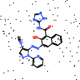 [C-]#[N+]c1cnn(-c2ccccn2)c1/N=N/c1cc2ccccc2c(C(=O)Nc2ncn[nH]2)c1O